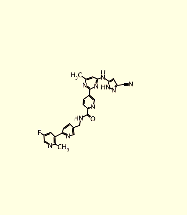 Cc1cc(Nc2cc(C#N)n[nH]2)nc(-c2ccc(C(=O)NCc3ccc(-c4cc(F)cnc4C)nc3)nc2)n1